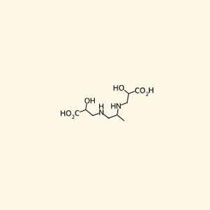 CC(CNCC(O)C(=O)O)NCC(O)C(=O)O